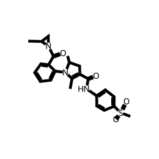 CC1=C(C(=O)Nc2ccc(S(C)(=O)=O)cc2)CC(C)N1c1ccccc1C(=O)N1CC1C